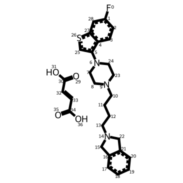 Fc1ccc2c(N3CCN(CCCCN4Cc5ccccc5C4)CC3)csc2c1.O=C(O)C=CC(=O)O